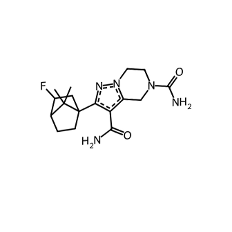 CC1(C)C2CCC1(c1nn3c(c1C(N)=O)CN(C(N)=O)CC3)CC2F